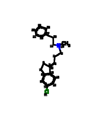 CN(CCC[C@@H]1CCc2cc(Cl)ccc21)CCc1ccccc1